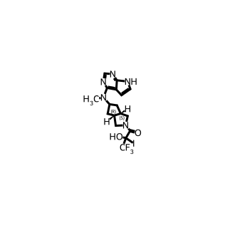 CN(c1ncnc2[nH]ccc12)C1C[C@@H]2CN(C(=O)C(O)(I)C(F)(F)F)C[C@@H]2C1